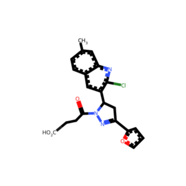 Cc1ccc2cc(C3CC(c4ccco4)=NN3C(=O)CCC(=O)O)c(Cl)nc2c1